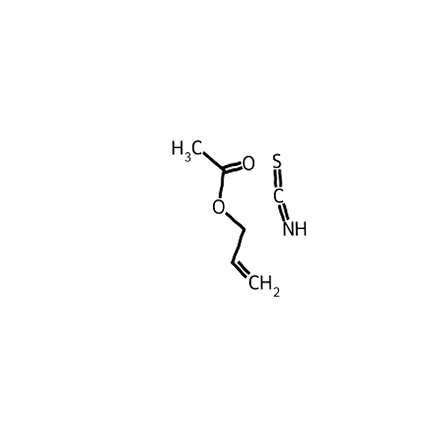 C=CCOC(C)=O.N=C=S